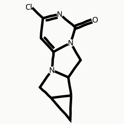 O=c1nc(Cl)cc2n1CC1C3CC3CN21